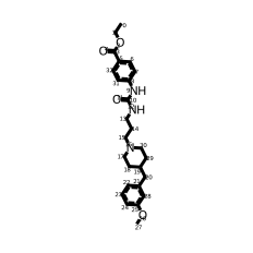 CCOC(=O)c1ccc(NC(=O)NCCCN2CCC(Cc3cccc(OC)c3)CC2)cc1